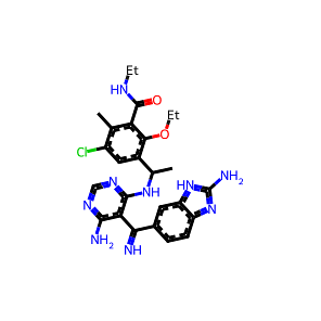 CCNC(=O)c1c(C)c(Cl)cc(C(C)Nc2ncnc(N)c2C(=N)c2ccc3nc(N)[nH]c3c2)c1OCC